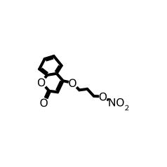 O=c1cc(OCCCO[N+](=O)[O-])c2ccccc2o1